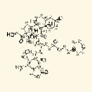 COc1c(C)c2c(c(O)c1C/C=C(\C)CCC(=O)OCCN1CCOCC1)C(=O)OC2.C[C@]12C=CC(=O)C=C1CC[C@@H]1[C@@H]2C(=O)C[C@@]2(C)[C@H]1CC[C@]2(O)C(=O)CO